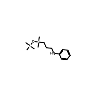 C[Si](C)(C)O[Si](C)(C)CCCNc1ccccc1